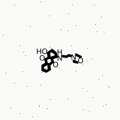 O=C1c2ccccc2C(=O)c2c(NCCCN3CCOCC3)ccc(O)c21